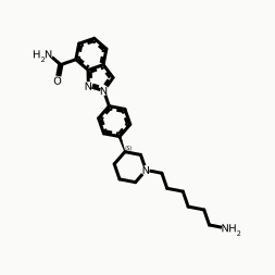 NCCCCCCN1CCC[C@@H](c2ccc(-n3cc4cccc(C(N)=O)c4n3)cc2)C1